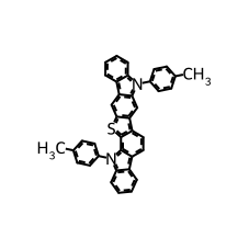 Cc1ccc(-n2c3ccccc3c3cc4sc5c(ccc6c7ccccc7n(-c7ccc(C)cc7)c65)c4cc32)cc1